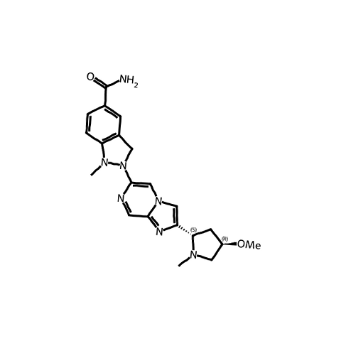 CO[C@@H]1C[C@@H](c2cn3cc(N4Cc5cc(C(N)=O)ccc5N4C)ncc3n2)N(C)C1